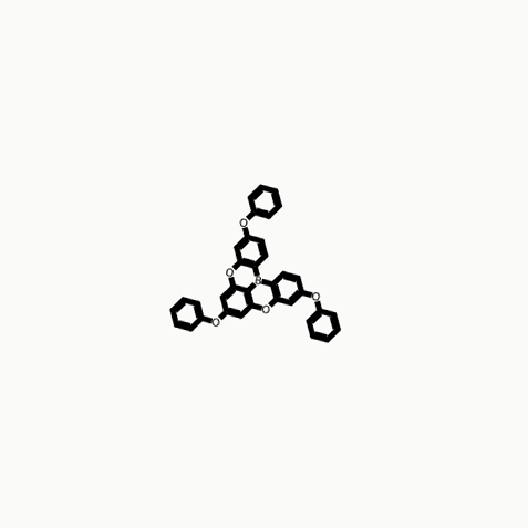 c1ccc(Oc2ccc3c(c2)Oc2cc(Oc4ccccc4)cc4c2B3c2ccc(Oc3ccccc3)cc2O4)cc1